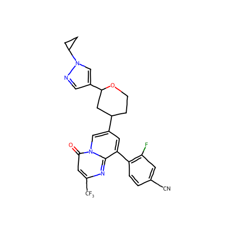 N#Cc1ccc(-c2cc(C3CCOC(c4cnn(C5CC5)c4)C3)cn3c(=O)cc(C(F)(F)F)nc23)c(F)c1